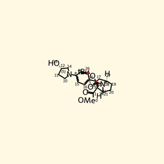 COC(=O)C1=C(c2ccc(N3CC[C@H](O)C3)cc2)C[C@H]2CC[C@@H]1N2C(=O)OC(C)(C)C